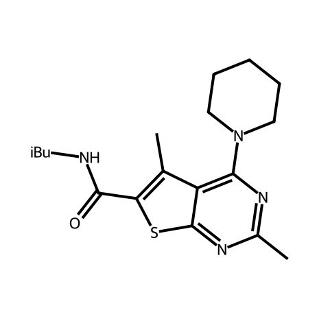 CCC(C)NC(=O)c1sc2nc(C)nc(N3CCCCC3)c2c1C